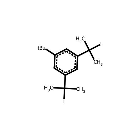 CC(C)(C)c1cc(C(C)(C)I)cc(C(C)(C)I)c1